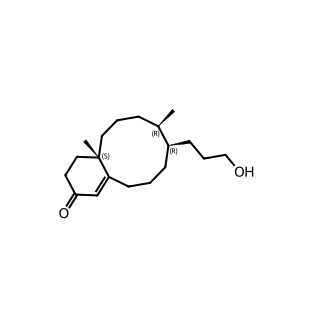 C[C@@H]1CCC[C@@]2(C)CCC(=O)C=C2CCC[C@@H]1CCCO